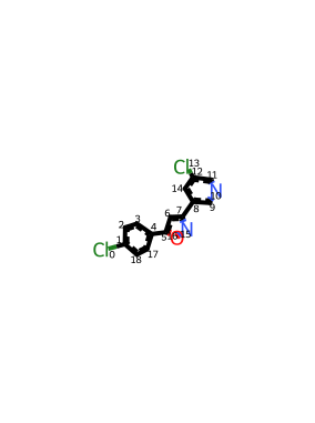 Clc1ccc(-c2cc(-c3cncc(Cl)c3)no2)cc1